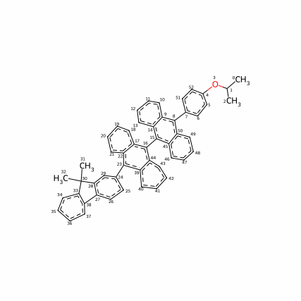 CC(C)Oc1ccc(-c2c3ccccc3c(-c3c4ccccc4c(-c4ccc5c(c4)C(C)(C)c4ccccc4-5)c4ccccc34)c3ccccc23)cc1